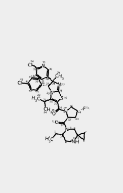 CC[C@@H]1CNC2(CC2)CN1C(=O)[C@@H]1C[C@@H](F)CN1C(=O)C1=C(C(C)C)N2C(=N[C@@](C)(c3ccc(Cl)nc3)[C@H]2c2ccc(Cl)cc2)S1